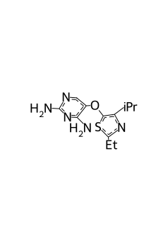 CCc1nc(C(C)C)c(Oc2cnc(N)nc2N)s1